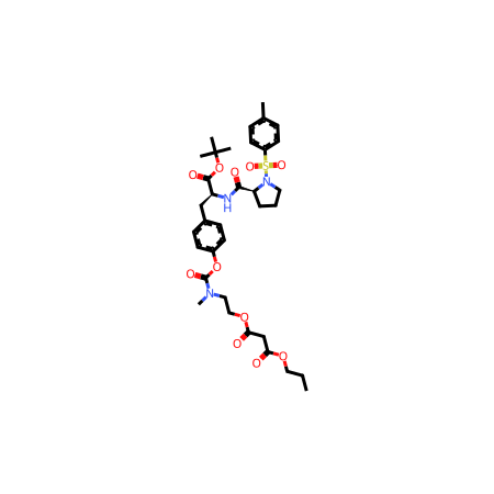 CCCOC(=O)CC(=O)OCCN(C)C(=O)Oc1ccc(C[C@H](NC(=O)[C@@H]2CCCN2S(=O)(=O)c2ccc(C)cc2)C(=O)OC(C)(C)C)cc1